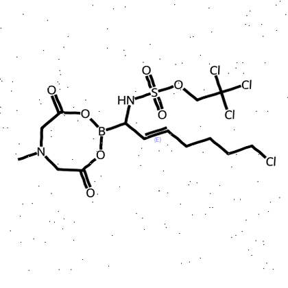 CN1CC(=O)OB(C(/C=C/CCCCCl)NS(=O)(=O)OCC(Cl)(Cl)Cl)OC(=O)C1